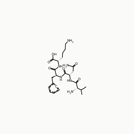 CC(C)[C@H](N)C(=O)N[C@@H](CC(N)=O)C(=O)N[C@@H](Cc1ccccc1)C(=O)N[C@@H](CCCCN)C(=O)O